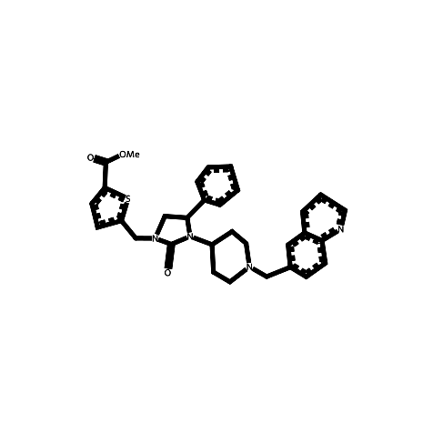 COC(=O)c1ccc(CN2CC(c3ccccc3)N(C3CCN(Cc4ccc5ncccc5c4)CC3)C2=O)s1